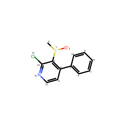 C[S+]([O-])c1c(-c2ccccc2)ccnc1Cl